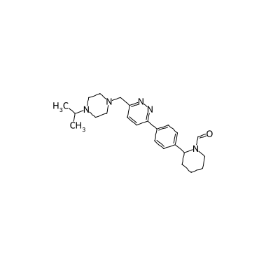 CC(C)N1CCN(Cc2ccc(-c3ccc(C4CCCCN4C=O)cc3)nn2)CC1